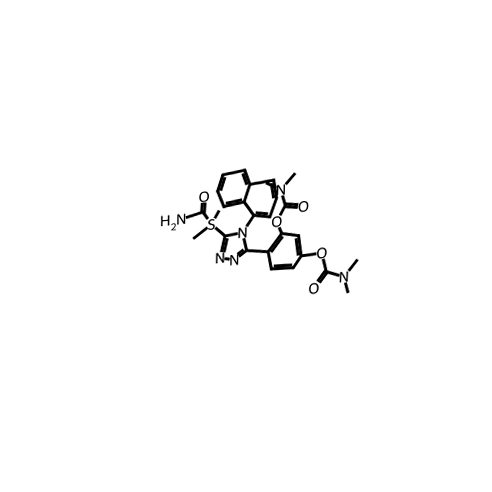 CN(C)C(=O)Oc1ccc(-c2nnc(S(C)(C)C(N)=O)n2-c2cccc3ccccc23)c(OC(=O)N(C)C)c1